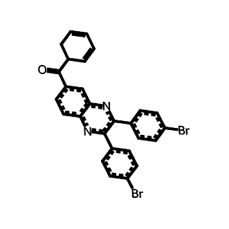 O=C(c1ccc2nc(-c3ccc(Br)cc3)c(-c3ccc(Br)cc3)nc2c1)C1C=CC=CC1